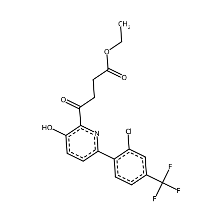 CCOC(=O)CCC(=O)c1nc(-c2ccc(C(F)(F)F)cc2Cl)ccc1O